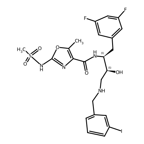 Cc1oc(NS(C)(=O)=O)nc1C(=O)N[C@@H](Cc1cc(F)cc(F)c1)[C@@H](O)CNCc1cccc(I)c1